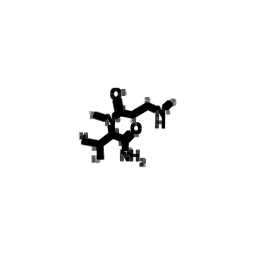 CNCCC(=O)N(C)C(C(N)=O)C(C)C